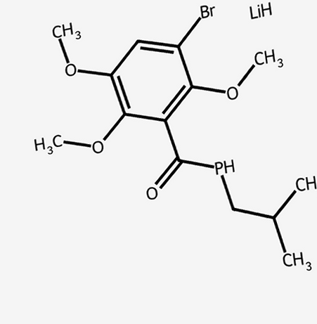 COc1cc(Br)c(OC)c(C(=O)PCC(C)C)c1OC.[LiH]